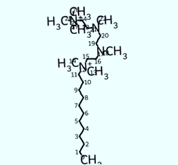 CCCCCCCCCCCC[N+](C)(C)CCN(C)CCN(C)CC[N+](C)(C)C